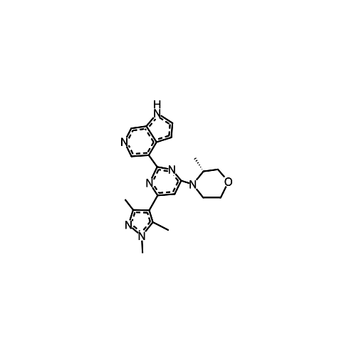 Cc1nn(C)c(C)c1-c1cc(N2CCOC[C@H]2C)nc(-c2cncc3[nH]ccc23)n1